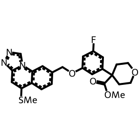 COC(=O)C1(c2cc(F)cc(OCc3ccc4c(SC)cc5nncn5c4c3)c2)CCOCC1